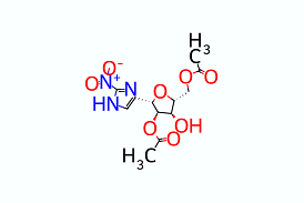 CC(=O)OC[C@H]1O[C@@H](c2c[nH]c([N+](=O)[O-])n2)[C@H](OC(C)=O)[C@@H]1O